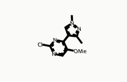 COc1cnc(Cl)nc1-c1cn(C)nc1C